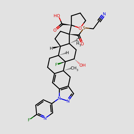 C[C@]12Cc3cnn(-c4ccc(F)nc4)c3C=C1CC[C@H]1[C@@H]3CC[C@](C(=O)SCC#N)([C@]4(C(=O)O)CCCO4)[C@@]3(C)C[C@H](O)[C@@]12F